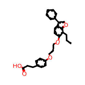 CCCc1c(OCCCOc2ccc(CCC(=O)O)cc2)ccc2c(-c3ccccc3)coc12